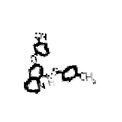 Cc1ccc(SNc2cc(Oc3cccc(C#N)c3)cc3cccnc23)cc1